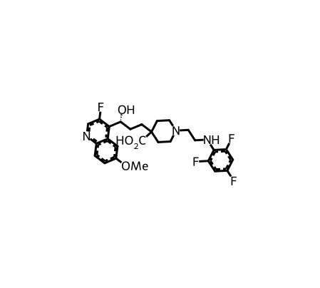 COc1ccc2ncc(F)c([C@H](O)CCC3(C(=O)O)CCN(CCNc4c(F)cc(F)cc4F)CC3)c2c1